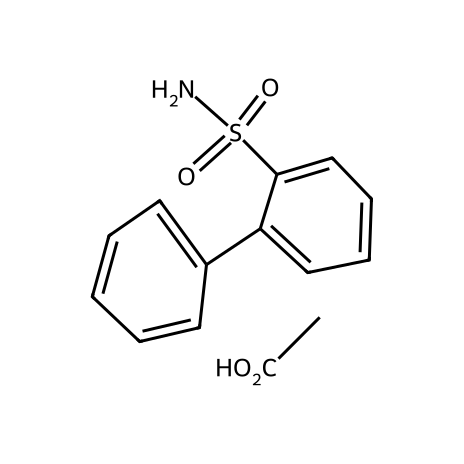 CC(=O)O.NS(=O)(=O)c1ccccc1-c1ccccc1